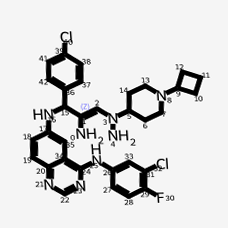 N/C(=C\N(N)C1CCN(C2CCC2)CC1)C(Nc1ccc2ncnc(Nc3ccc(F)c(Cl)c3)c2c1)c1ccc(Cl)cc1